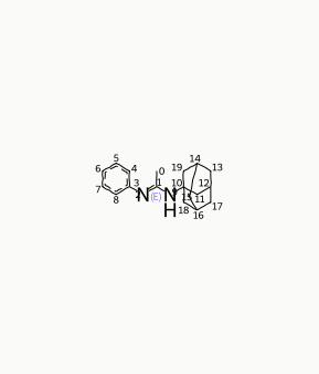 C/C(=N\c1ccccc1)NC12CC3CC(CC(C3)C1)C2